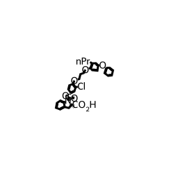 CCCc1cc(Oc2ccccc2)ccc1OCCCOc1ccc(S(=O)(=O)N2c3ccccc3C[C@@H]2C(=O)O)cc1Cl